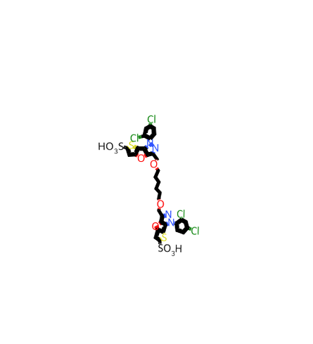 O=S(=O)(O)c1cc2oc3c(COCCCCCCOCc4nn(-c5ccc(Cl)cc5Cl)c5c4oc4cc(S(=O)(=O)O)sc45)nn(-c4ccc(Cl)cc4Cl)c3c2s1